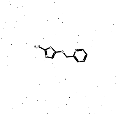 Nc1ncc(SCc2ccccn2)s1